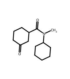 CN(C(=O)C1CCCC(=O)C1)C1CCCCC1